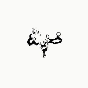 CN(C)Cc1ccc(COc2nc(Br)cnc2NS(=O)(=O)c2cccc(Cl)c2Cl)o1